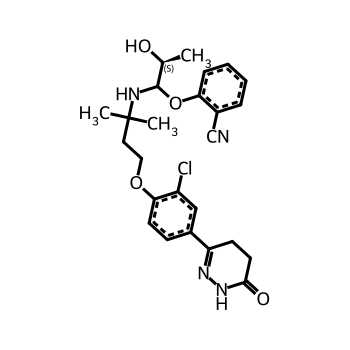 C[C@H](O)C(NC(C)(C)CCOc1ccc(C2=NNC(=O)CC2)cc1Cl)Oc1ccccc1C#N